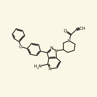 C#CC(=O)N1CCCC(n2nc(-c3ccc(Oc4ccccc4)cc3)c3c(N)nccc32)C1